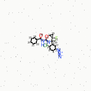 [N-]=[N+]=Nc1ccc(Cl)c(C2(CF)N=C(NC(=O)c3ccccc3)OC3CC32)c1